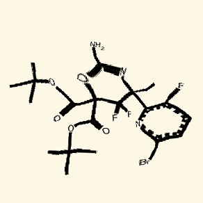 CC(C)(C)OC(=O)C1(C(=O)OC(C)(C)C)OC(N)=N[C@](C)(c2nc(Br)ccc2F)C1(F)F